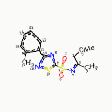 COCC(C)=NS(=O)(=O)c1nc(-c2ccccc2C)ns1